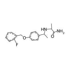 CC(NC(C)c1ccc(OCc2ccccc2F)cc1)C(N)=O